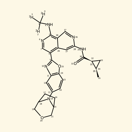 [2H]C([2H])([2H])Nc1ncc(-c2nc3cc(N4C5CCC4COC5)ccc3o2)c2cc(NC(=O)[C@H]3C[C@H]3C)ncc12